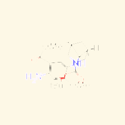 COC(=O)c1cc(N[C@@H]2[C@@H]3C[C@H]2CN(C(=O)OC(C)(C)C)C3)c(OC)cc1N